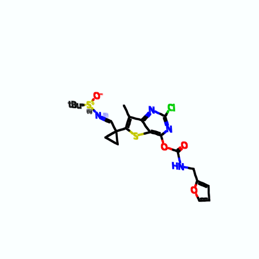 Cc1c(C2(/C=N/[S@+]([O-])C(C)(C)C)CC2)sc2c(OC(=O)NCc3ccco3)nc(Cl)nc12